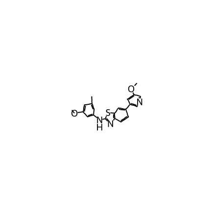 COc1cc(C)cc(Nc2nc3ccc(-c4cncc(OC)c4)cc3s2)c1